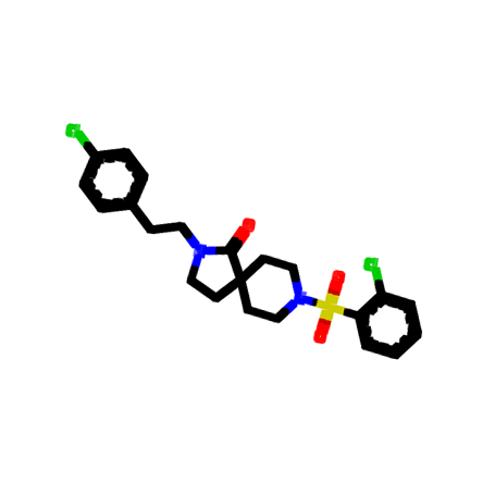 O=C1N(CCc2ccc(Cl)cc2)CCC12CCN(S(=O)(=O)c1ccccc1Cl)CC2